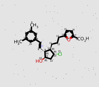 Cc1cc(C)cc(/C=C/[C@@H]2[C@@H](CCCc3ccc(C(=O)O)o3)[C@H](Cl)C[C@H]2O)c1